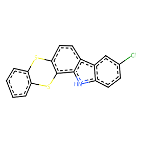 Clc1ccc2[nH]c3c4c(ccc3c2c1)Sc1ccccc1S4